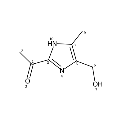 CC(=O)c1nc(CO)c(C)[nH]1